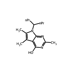 CCCC(CCC)n1c(C)c(C)c2c(O)nc(C)nc21